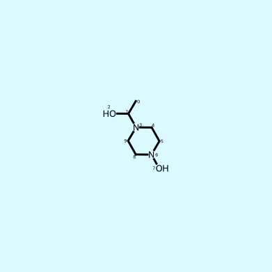 CC(O)N1CCN(O)CC1